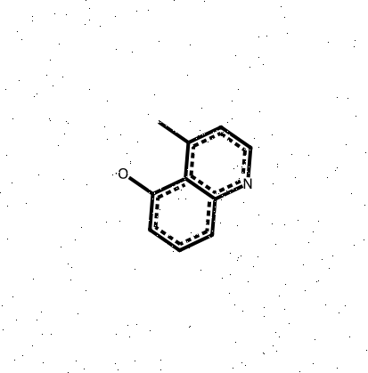 Cc1ccnc2cccc([O])c12